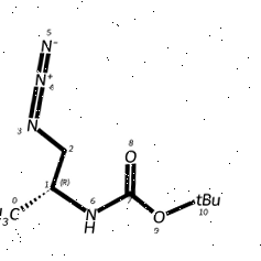 C[C@H](CN=[N+]=[N-])NC(=O)OC(C)(C)C